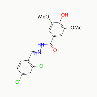 COc1cc(C(=O)N/N=C/c2ccc(Cl)cc2Cl)cc(OC)c1O